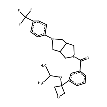 CC(C)OC1(c2cccc(C(=O)N3CC4CN(c5ccc(C(F)(F)F)cc5)CC4C3)c2)COC1